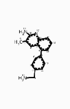 Cc1cc2c(-c3ccc(CN)cc3)cccc2nc1N